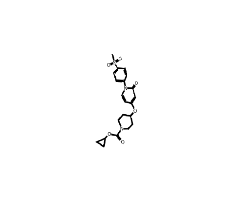 CS(=O)(=O)c1ccc(-n2ccc(OC3CCN(C(=O)OC4CC4)CC3)cc2=O)cc1